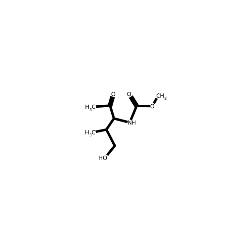 COC(=O)NC(C(C)=O)C(C)CO